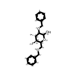 C[C@@H]1C(OCc2ccccc2)C(O)OC(COCc2ccccc2)[C@H]1F